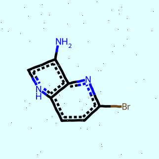 Nc1c[nH]c2ccc(Br)nc12